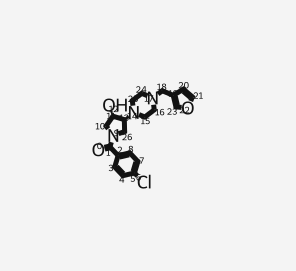 O=C(c1ccc(Cl)cc1)N1C[C@H](O)[C@@H](N2CCN(Cc3ccoc3)CC2)C1